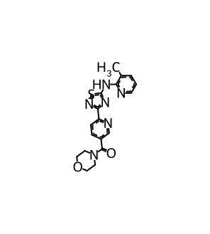 Cc1cccnc1Nc1nc(-c2ccc(C(=O)N3CCOCC3)cn2)ns1